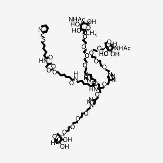 CC(=O)N[C@@H]1[C@@H](O)[C@@H](O)[C@@](C)(COCCOCCOCCOCCn2cc(COCC(COCc3cn(CCOCCOCCOCCOC[C@@]45CO[C@@H](O4)[C@H](NC(C)=O)[C@@H](O)[C@H]5O)nn3)(COCc3cn(CCOCCOCCOCCOC[C@]45CO[C@H](C[C@@H](O)[C@H]4O)O5)nn3)NC(=O)CCCCCNC(=O)CCCCCOC3OCC(NC(=O)CCCCCSSc4ccccn4)CO3)nn2)O[C@@H]1O